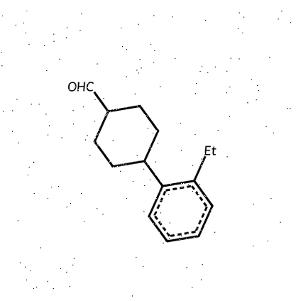 CCc1ccccc1C1CCC(C=O)CC1